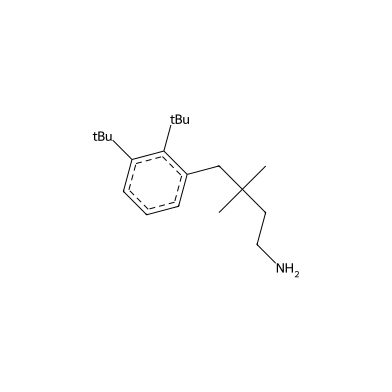 CC(C)(CCN)Cc1cccc(C(C)(C)C)c1C(C)(C)C